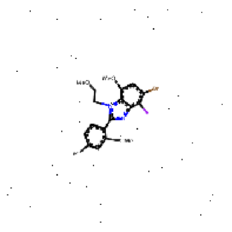 COCCn1c(-c2ccc(C(C)C)cc2OC)nc2c(I)c(Br)cc(OC)c21